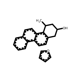 CC1CC(O)Cc2ccc3c(ccc4ccccc43)c21.c1ccoc1